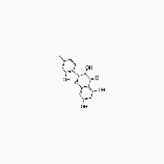 Cc1ccc(C2Oc3cc(O)cc(O)c3C(=O)C2O)c(O)c1